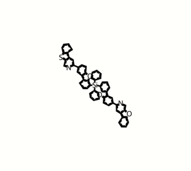 c1ccc([Si](c2ccccc2)(c2cccc3c2oc2ccc(-c4cc5c(cn4)oc4ccccc45)cc23)c2cccc3c2oc2ccc(-c4cc5c(cn4)sc4ccccc45)cc23)cc1